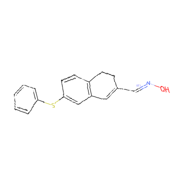 O/N=C/C1=Cc2cc(Sc3ccccc3)ccc2CC1